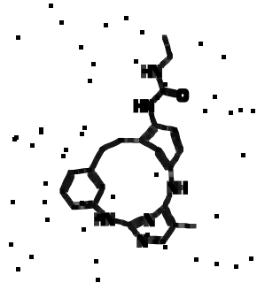 CCNC(=O)Nc1ccc2cc1CCc1cccc(c1)Nc1ncc(C)c(n1)N2